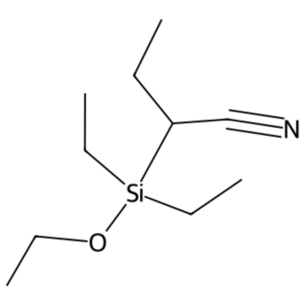 CCO[Si](CC)(CC)C(C#N)CC